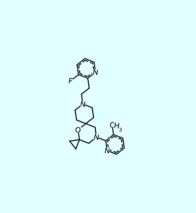 Cc1cccnc1N1CC2(CCN(CCc3ncccc3F)CC2)OC2(CC2)C1